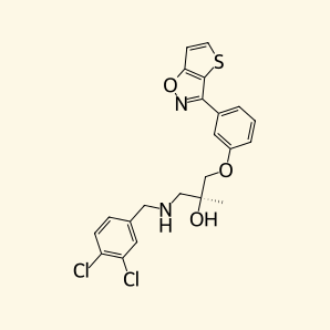 C[C@](O)(CNCc1ccc(Cl)c(Cl)c1)COc1cccc(-c2noc3ccsc23)c1